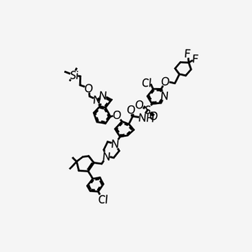 CC1(C)CCC(CN2CCN(c3ccc(C(=O)NS(=O)(=O)c4cnc(OCC5CCC(F)(F)CC5)c(Cl)c4)c(Oc4cccc5c4cnn5COCC[Si](C)(C)C)c3)CC2)=C(c2ccc(Cl)cc2)C1